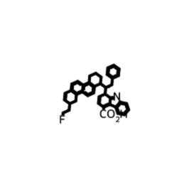 O=C(O)C1=C2C(=Nc3ccccc32)C([C](Cc2ccccc2)C2CCCc3c2ccc2c4c(ccc32)C=CC(CCF)C4)C=C1